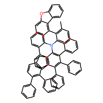 Cc1cccc(N(c2ccccc2-c2ccccc2)c2c3c(c(-c4ccccc4)c(-c4ccccc4)c2-c2ccccc2)-c2c(ccc(-c4ccccc4)c2-c2ccccc2)C3)c1-c1cccc2oc3ccccc3c12